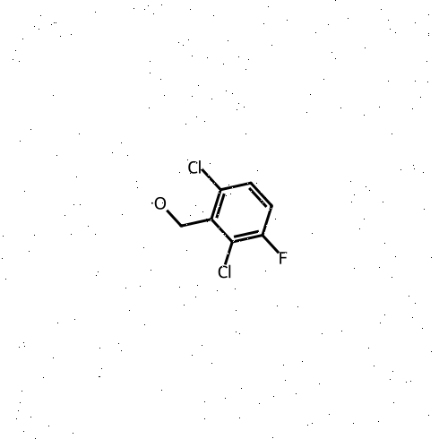 [O]Cc1c(Cl)ccc(F)c1Cl